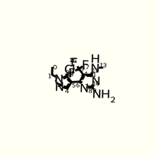 CCn1ncc(-c2nc(N)nc(NC)c2C(F)(F)F)c1Cl